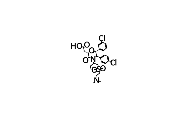 CCC(CS(=O)(=O)CCN(C)C)N1C(=O)[C@H](CC(=O)O)O[C@H](c2cccc(Cl)c2)[C@H]1c1ccc(Cl)cc1